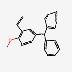 C=Cc1cc(C(c2ccccc2)c2ccccc2)ccc1OC